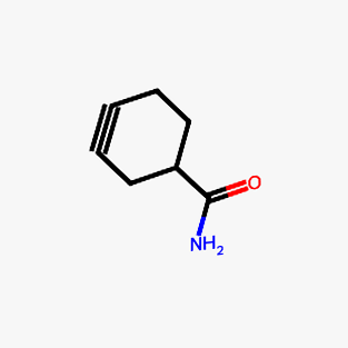 NC(=O)C1CC#CCC1